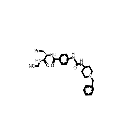 CC(C)C[C@H](NC(=O)c1ccc(NC(=O)NC2CCN(Cc3ccccc3)CC2)cc1)C(=O)NCC#N